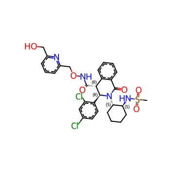 CS(=O)(=O)N[C@H]1CCCC[C@@H]1N1C(=O)c2ccccc2[C@@H](C(=O)NOCc2cccc(CO)n2)[C@@H]1c1ccc(Cl)cc1Cl